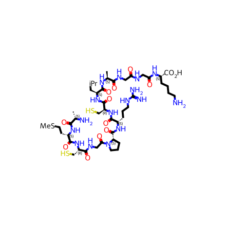 CSCC[C@H](NC(=O)[C@H](C)N)C(=O)N[C@@H](CS)C(=O)NCC(=O)N1CCC[C@H]1C(=O)N[C@@H](CCCNC(=N)N)C(=O)N[C@@H](CS)C(=O)N[C@@H](CC(C)C)C(=O)N[C@@H](C)C(=O)NCC(=O)NCC(=O)N[C@@H](CCCCN)C(=O)O